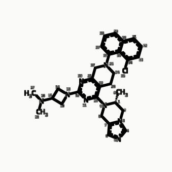 C[C@@H]1Cn2cncc2CN1c1nc(N2CC(N(C)C)C2)nc2c1CCN(c1cccc3cccc(Cl)c13)C2